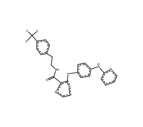 O=C(NCCc1ccc(C(F)(F)F)cc1)c1nccnc1Oc1ccc(Nc2ccccn2)cc1